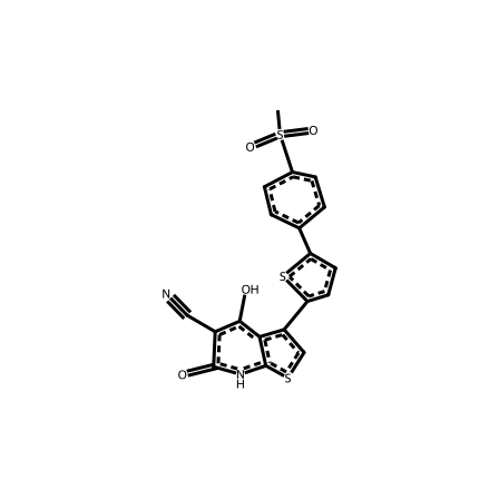 CS(=O)(=O)c1ccc(-c2ccc(-c3csc4[nH]c(=O)c(C#N)c(O)c34)s2)cc1